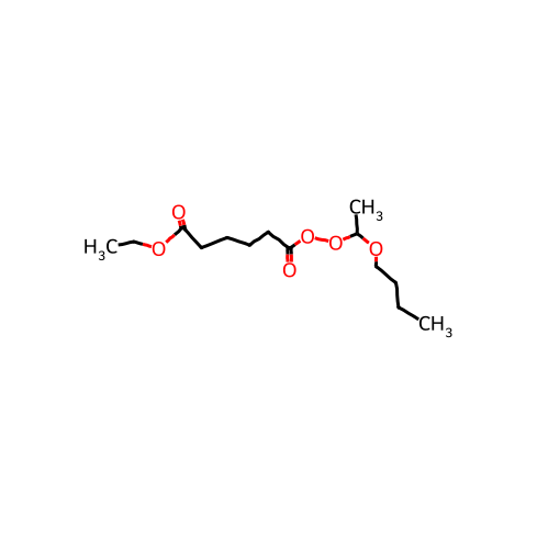 CCCCOC(C)OOC(=O)CCCCC(=O)OCC